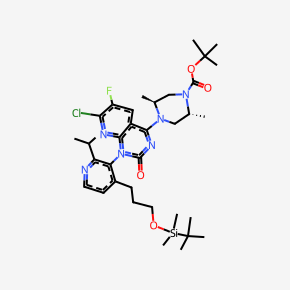 CC(C)c1nccc(CCCO[Si](C)(C)C(C)(C)C)c1-n1c(=O)nc(N2C[C@@H](C)N(C(=O)OC(C)(C)C)C[C@@H]2C)c2cc(F)c(Cl)nc21